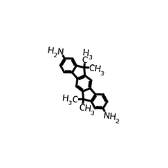 CC1(C)c2cc(N)ccc2-c2cc3c(cc21)-c1ccc(N)cc1C3(C)C